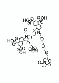 COCC[N+]1=C(/C=C/C=C2/N(CCOCCOCCOCCC(=O)ON3C(=O)CCC3=O)c3ccc4c(S(=O)(=O)O)cc(S(=O)(=O)O)cc4c3C2(C)C)C(C)(CCCS(=O)(=O)O)c2c1ccc1c(S(=O)(=O)O)cc(S(=O)(=O)O)cc21